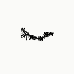 CN(C)CCOc1ccc(CCN2C=C(CCCCc3cn(CCc4ccc(OCCN(C)C)c(Br)c4)nn3)NN2)cc1Br